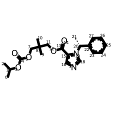 CC(C)OC(=O)OCC(C)(C)COC(=O)c1cncn1[C@H](C)c1ccccc1